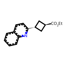 CCOC(=O)[C@H]1C[C@H](c2ccc3ccccc3n2)C1